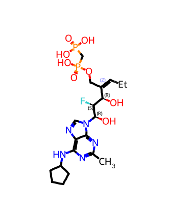 CC/C=C(/COP(=O)(O)CP(=O)(O)O)[C@@H](O)[C@H](F)[C@@H](O)n1cnc2c(NC3CCCC3)nc(C)nc21